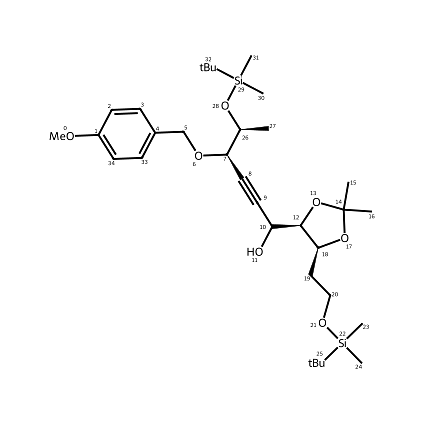 COc1ccc(CO[C@H](C#CC(O)[C@H]2OC(C)(C)O[C@H]2CCO[Si](C)(C)C(C)(C)C)[C@H](C)O[Si](C)(C)C(C)(C)C)cc1